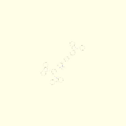 c1ccc(-n2c3ccccc3c3cc(-c4ccc(-c5ccc(-c6cc(-n7c8ccccc8c8ccccc87)cc(-n7c8ccccc8c8ccccc87)c6)nn5)cc4)ccc32)cc1